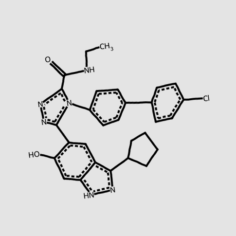 CCNC(=O)c1nnc(-c2cc3c(C4CCCC4)n[nH]c3cc2O)n1-c1ccc(-c2ccc(Cl)cc2)cc1